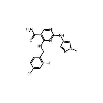 Cn1cc(Nc2ncc(C(N)=O)c(NCc3ccc(Cl)cc3F)n2)cn1